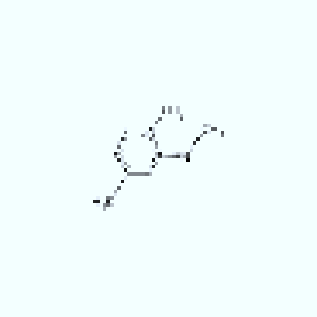 C/N=c1/cc(C)ccn1C